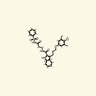 Cc1cc(OCCCc2c(C(=O)NCCC(=O)NS(=O)(=O)c3ccccc3)[nH]c3ccccc23)cc(C)c1Cl